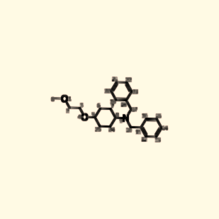 COCCOC1CCC(N(Cc2ccccc2)Cc2ccccc2)CC1